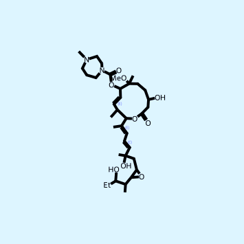 CCC(O)C(C)C1OC1CC(C)(O)/C=C/C=C(\C)C1OC(=O)CC(O)CCC(C)(OC)C(OC(=O)N2CCCN(C)CC2)/C=C/C1C